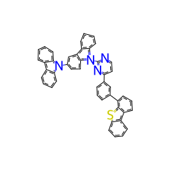 c1cc(-c2ccnc(-n3c4ccccc4c4cc(-n5c6ccccc6c6ccccc65)ccc43)n2)cc(-c2cccc3c2sc2ccccc23)c1